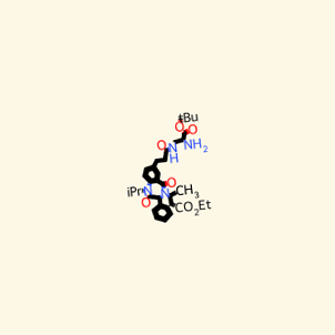 CCOC(=O)CC(C)N1C(=O)c2cc(CCC(=O)NCC(N)C(=O)OC(C)(C)C)ccc2N(C(C)C)C(=O)C1c1ccccc1